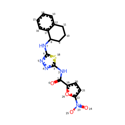 O=C(Nc1nnc(NC2CCCc3ccccc32)s1)c1ccc([N+](=O)[O-])o1